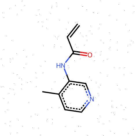 C=CC(=O)Nc1cnccc1C